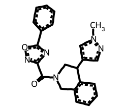 Cn1cc(C2CN(C(=O)c3noc(-c4ccccc4)n3)Cc3ccccc32)cn1